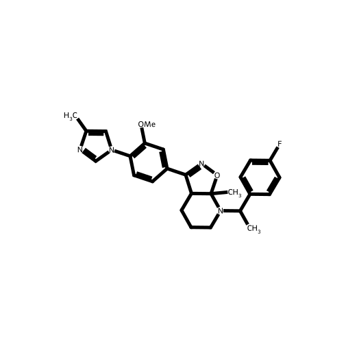 COc1cc(C2=NOC3(C)C2CCCN3C(C)c2ccc(F)cc2)ccc1-n1cnc(C)c1